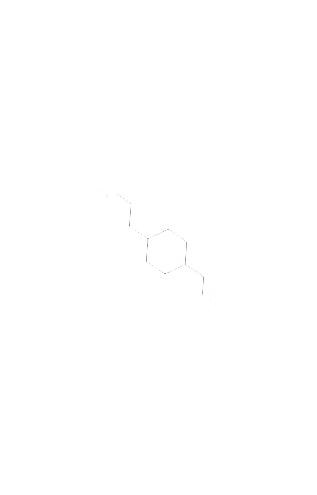 [CH2]CC1CCC(CCC)CC1